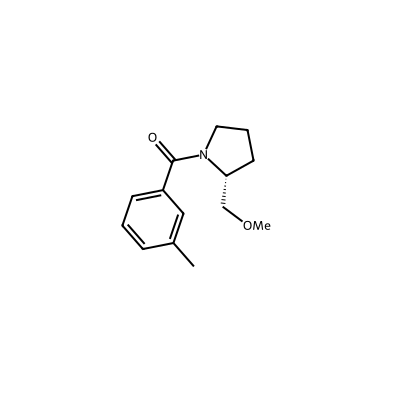 COC[C@H]1CCCN1C(=O)c1cccc(C)c1